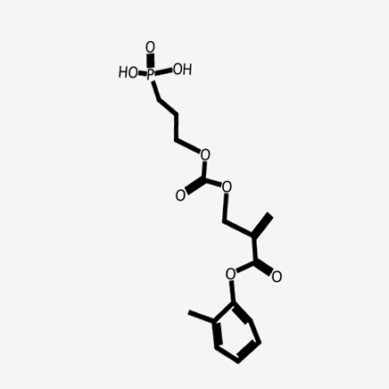 C=C(COC(=O)OCCCP(=O)(O)O)C(=O)Oc1ccccc1C